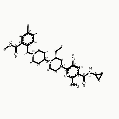 CC[C@H]1CN(c2nc(N)c(C(=O)NC3CC3)nc2Cl)CCN1C1CCN(Cc2ccc(C)cc2C(=O)OC)CC1